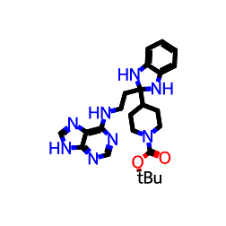 CC(C)(C)OC(=O)N1CCC(C2(CCNc3ncnc4[nH]cnc34)Nc3ccccc3N2)CC1